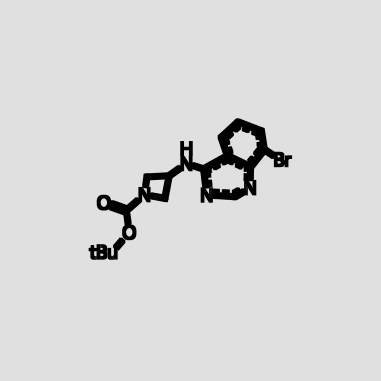 CC(C)(C)OC(=O)N1CC(Nc2ncnc3c(Br)cccc23)C1